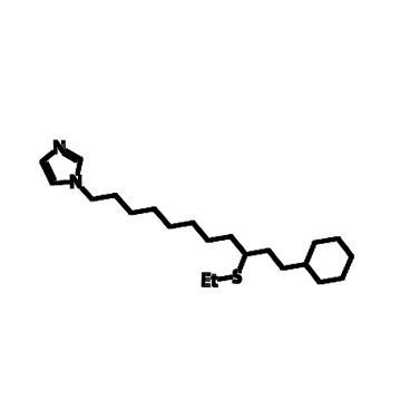 CCSC(CCCCCCCCn1ccnc1)CCC1CCCCC1